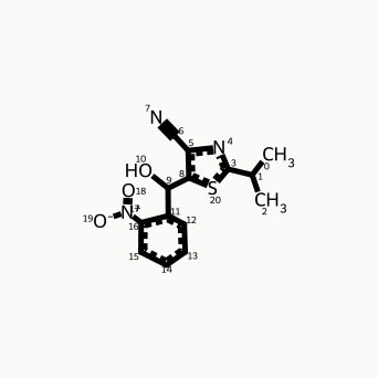 CC(C)c1nc(C#N)c(C(O)c2ccccc2[N+](=O)[O-])s1